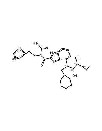 NC(=O)N(CCc1c[nH]cn1)C(=O)c1nc2c([C@H](CC3CCCCC3)[C@@H](O)[C@@H](O)C3CC3)cccc2[nH]1